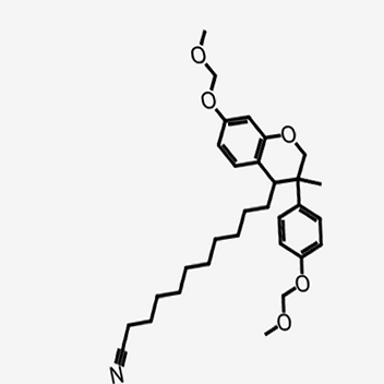 COCOc1ccc(C2(C)COc3cc(OCOC)ccc3C2CCCCCCCCCCC#N)cc1